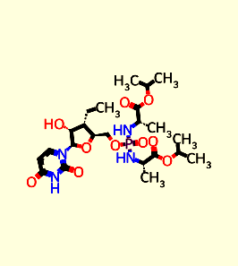 CC[C@H]1[C@@H](O)[C@H](n2ccc(=O)[nH]c2=O)O[C@@H]1COP(=O)(N[C@@H](C)C(=O)OC(C)C)N[C@@H](C)C(=O)OC(C)C